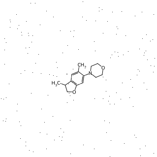 Cc1cc2c(cc1N1CCOCC1)OCC2C